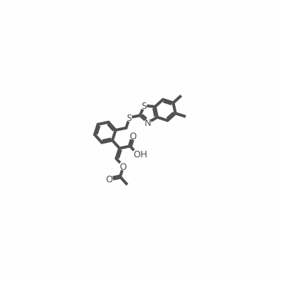 CC(=O)OC=C(C(=O)O)c1ccccc1CSc1nc2cc(C)c(C)cc2s1